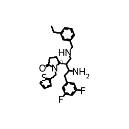 CCc1cccc(CNCC(C(N)Cc2cc(F)cc(F)c2)[C@@H]2CCC(=O)N2Cc2cccs2)c1